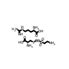 CSC[C@H](N)C(=O)O.N=C(N)NCCC[C@H](N)C(=O)O.NCCS(=O)(=O)O